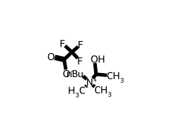 CCCC[N+](C)(C)C(C)O.O=C([O-])C(F)(F)F